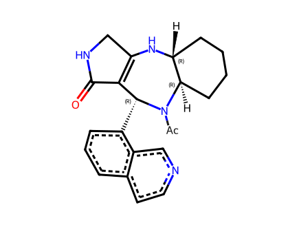 CC(=O)N1[C@@H]2CCCC[C@H]2NC2=C(C(=O)NC2)[C@H]1c1cccc2ccncc12